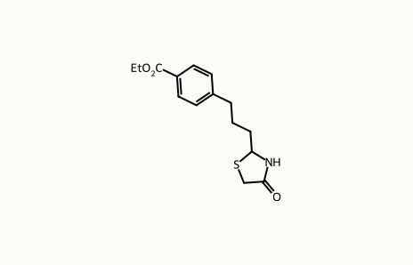 CCOC(=O)c1ccc(CCCC2NC(=O)CS2)cc1